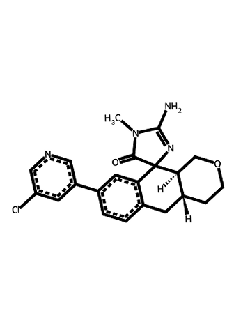 CN1C(=O)C2(N=C1N)c1cc(-c3cncc(Cl)c3)ccc1C[C@H]1CCOC[C@@H]12